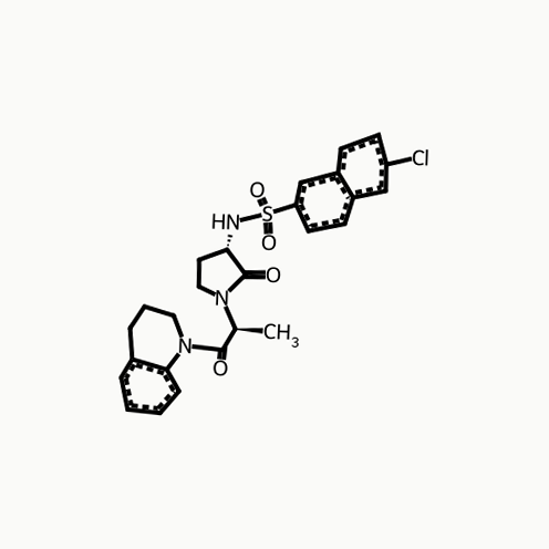 C[C@@H](C(=O)N1CCCc2ccccc21)N1CC[C@H](NS(=O)(=O)c2ccc3cc(Cl)ccc3c2)C1=O